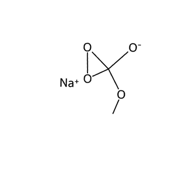 COC1([O-])OO1.[Na+]